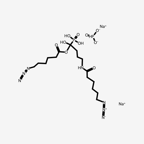 O=[PH]([O-])[O-].[N-]=[N+]=NCCCCCC(=O)NCCCC(O)(OC(=O)CCCCCN=[N+]=[N-])P(=O)(O)O.[Na+].[Na+]